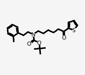 Cc1ccccc1CCN(CCCCCC(=O)c1cccs1)C(=O)OC(C)(C)C